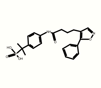 CC(C)(c1ccc(NC(=O)CCCc2cnoc2-c2ccccc2)cc1)P(=O)(O)O